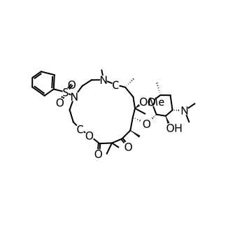 CO[C@]1(C)C[C@@H](C)CN(C)CCN(S(=O)(=O)c2ccccc2)CCCOC(=O)C(C)(C)C(=O)[C@H](C)[C@H]1O[C@@H]1O[C@H](C)C[C@H](N(C)C)[C@H]1O